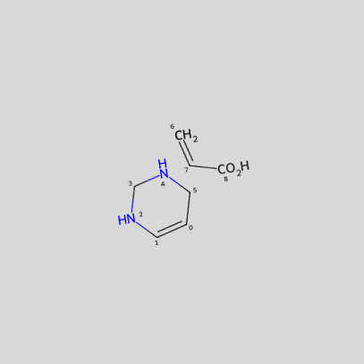 C1=CNCNC1.C=CC(=O)O